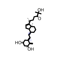 C=C1/C(=C/C=C2\CCC[C@]3(C)C([C@H](C)CCC(=O)C(C)(C)O)=CCC23)C[C@@H](O)C[C@@H]1O